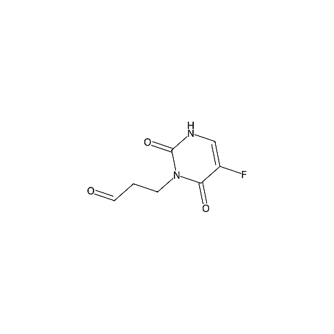 O=CCCn1c(=O)[nH]cc(F)c1=O